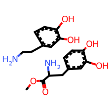 COC(=O)C(N)Cc1ccc(O)c(O)c1.NCCc1ccc(O)c(O)c1